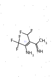 CC(=N)/C(=C(\N)C(F)(F)F)C(F)F